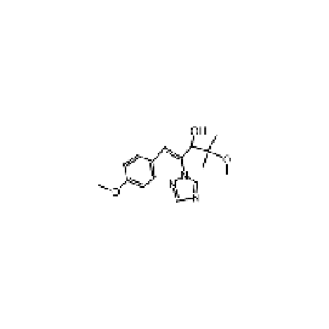 COc1ccc(C=C(C(O)C(C)(C)OC)n2cncn2)cc1